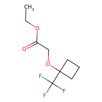 CCOC(=O)COC1(C(F)(F)F)CCC1